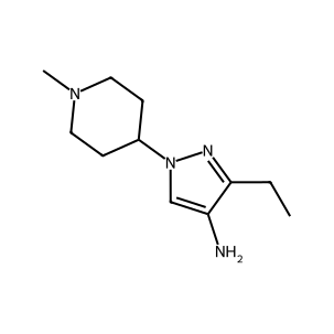 CCc1nn(C2CCN(C)CC2)cc1N